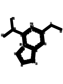 CCc1cc2nccn2c(C(C)C)n1